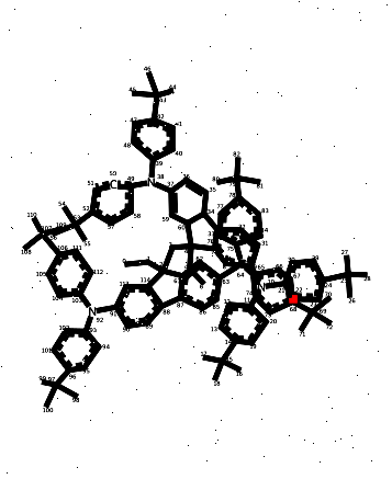 CCC1(CC2(CC)c3cc(N(c4ccc(C(C)(C)C)cc4)c4ccc(C(C)(C)C)cc4)ccc3C3C=CC(N(c4ccc(C(C)(C)C)cc4)c4ccc(C(C)(C)C)cc4)=CC32)c2cc(N(c3ccc(C(C)(C)C)cc3)c3ccc(C(C)(C)C)cc3)ccc2-c2ccc(N(c3ccc(C(C)(C)C)cc3)c3ccc(C(C)(C)C)cc3)cc21